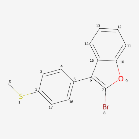 CSc1ccc(-c2c(Br)oc3ccccc23)cc1